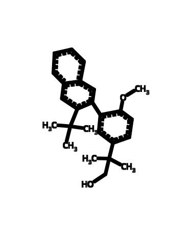 COc1ccc(C(C)(C)CO)cc1-c1cc2ccccc2cc1C(C)(C)C